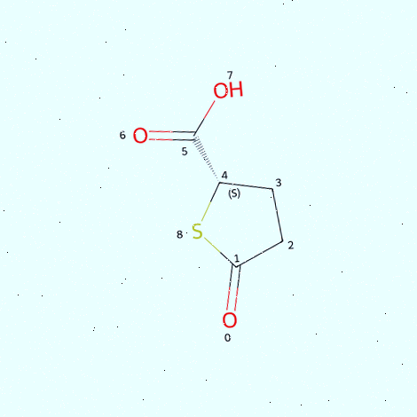 O=C1CC[C@@H](C(=O)O)S1